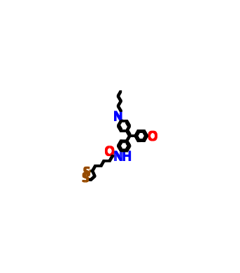 CCCCCN=C1C=CC(=C(c2ccc(NC(=O)CCCCC3CCSS3)cc2)c2ccc(OC)cc2)C=C1